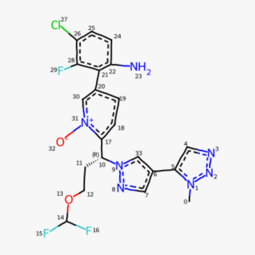 Cn1nncc1-c1cnn([C@H](CCOC(F)F)c2ccc(-c3c(N)ccc(Cl)c3F)c[n+]2[O-])c1